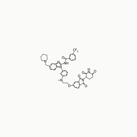 CN(CCOc1ccc2c(c1)C(=O)N(C1CCC(=O)NC1=O)C2=O)c1cccc(-n2c(NC(=O)c3cccc(C(F)(F)F)c3)nc3cc(CN4CCCCC4)ccc32)c1